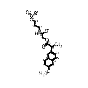 COc1ccc2cc(C(C)C(=O)OCC(=O)NCCCO[N+](=O)[O-])ccc2c1